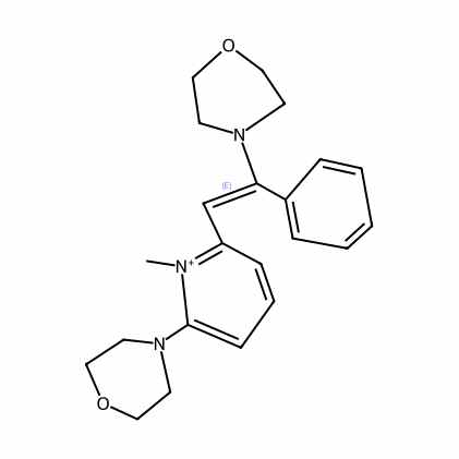 C[n+]1c(/C=C(\c2ccccc2)N2CCOCC2)cccc1N1CCOCC1